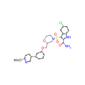 COc1ccc(-c2cccc(OCC3CN(S(=O)(=O)c4c(C(N)=O)[nH]c5ccc(Cl)cc45)CCO3)c2)cn1